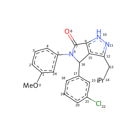 COc1cccc(N2C(=O)c3[nH]nc(CC(C)C)c3C2c2cccc(Cl)c2)c1